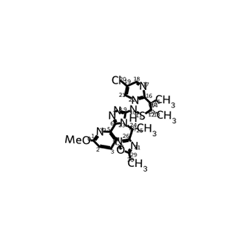 COc1cccc(-c2nnc(NS[C@@H](C)[C@H](C)c3ncc(Cl)cn3)n2[C@H](C)c2noc(C)n2)n1